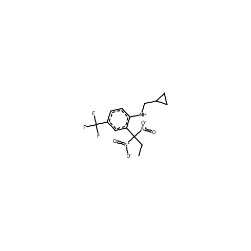 CCC(c1cc(C(F)(F)F)ccc1NCC1CC1)([N+](=O)[O-])[N+](=O)[O-]